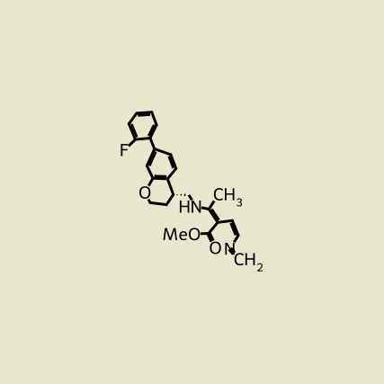 C=N/C=C\C(C(=O)OC)=C(/C)NC[C@@H]1CCOc2cc(-c3ccccc3F)ccc21